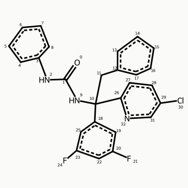 O=C(Nc1ccccc1)NC(Cc1ccccc1)(c1cc(F)cc(F)c1)c1ccc(Cl)cn1